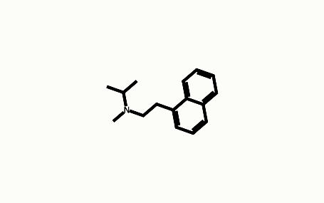 CC(C)N(C)CCc1cccc2ccccc12